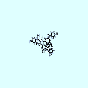 O=C(NCc1cc(CN(Cc2ccc(F)cc2)S(=O)(=O)c2cc(Cl)cc(Cl)c2O)cc(Oc2ccc(F)cc2)c1)Nc1ccc(F)cc1F